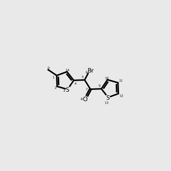 Cc1csc(C(Br)C(=O)c2cccs2)c1